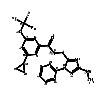 CNc1nc(CNC(=O)c2cc(OC(F)(F)F)cc(C3CC3)c2)n(-c2ncccn2)n1